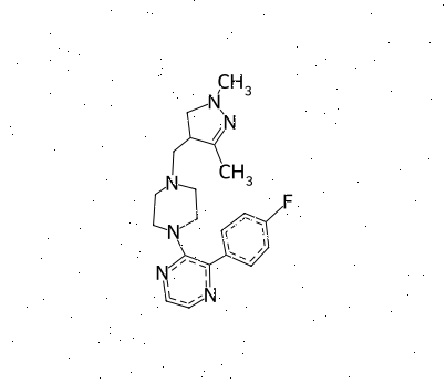 CC1=NN(C)CC1CN1CCN(c2nccnc2-c2ccc(F)cc2)CC1